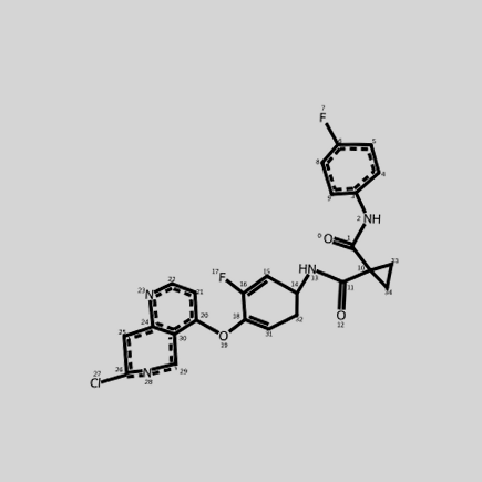 O=C(Nc1ccc(F)cc1)C1(C(=O)NC2C=C(F)C(Oc3ccnc4cc(Cl)ncc34)=CC2)CC1